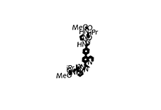 COC(=O)N[C@H](C(=O)N1CCC[C@H]1c1ncc(-c2ccc(-c3ccc(-c4cnc([C@@H]5CCCN5C(=O)[C@@H](NC(=O)OC)C(C)C)[nH]4)c4ncccc34)cc2)[nH]1)C(C)C